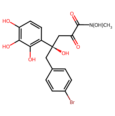 CN(O)C(=O)C(=O)C[C@](O)(Cc1ccc(Br)cc1)c1ccc(O)c(O)c1O